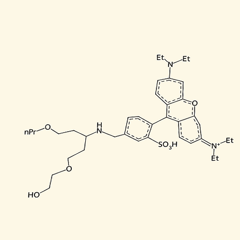 CCCOCCC(CCOCCO)NCc1ccc(-c2c3ccc(=[N+](CC)CC)cc-3oc3cc(N(CC)CC)ccc23)c(S(=O)(=O)O)c1